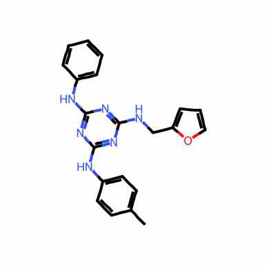 Cc1ccc(Nc2nc(NCc3ccco3)nc(Nc3ccccc3)n2)cc1